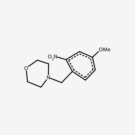 COc1ccc(CN2CCOCC2)c([N+](=O)[O-])c1